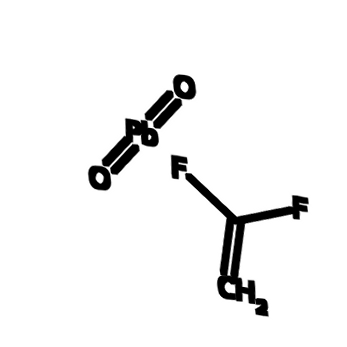 C=C(F)F.[O]=[Pb]=[O]